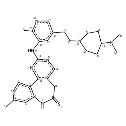 Cc1ccc2c(c1)NC(=S)Cc1cnc(Nc3cc(CCN4CCC(N(C)C)CC4)cnc3C)nc1-2